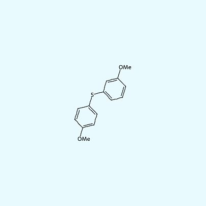 COc1ccc(Sc2cccc(OC)c2)cc1